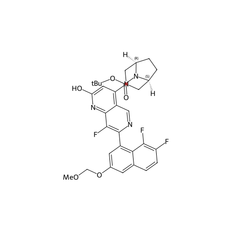 COCOc1cc(-c2ncc3c(N4C[C@H]5CC[C@@H](C4)N5C(=O)OC(C)(C)C)cc(O)nc3c2F)c2c(F)c(F)ccc2c1